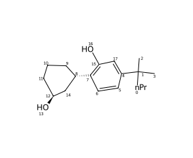 CCCC(C)(C)c1ccc([C@H]2CCC[C@H](O)C2)c(O)c1